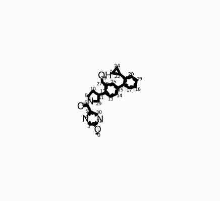 COc1cnc(C(=O)N2CCC(c3ccc(-c4ccccc4C4CC4)cc3CO)C2)cn1